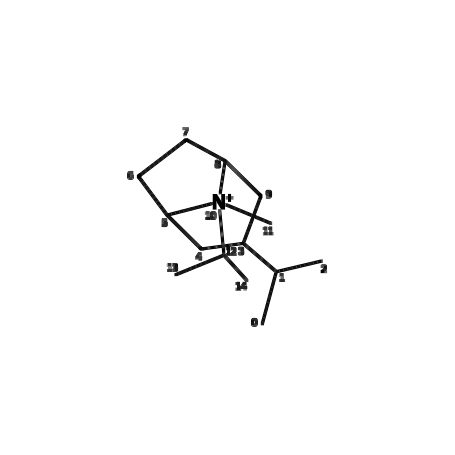 CC(C)C1CC2CCC(C1)[N+]2(C)C(C)C